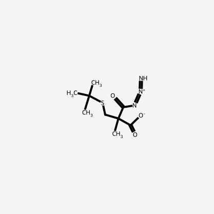 CC(C)(C)SCC(C)(C(=O)[O-])C(=O)N=[N+]=N